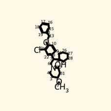 COC1CCN(CC(c2ccc(OCc3ccccc3)c(Cl)c2)C2(O)CCCCC2)CC1